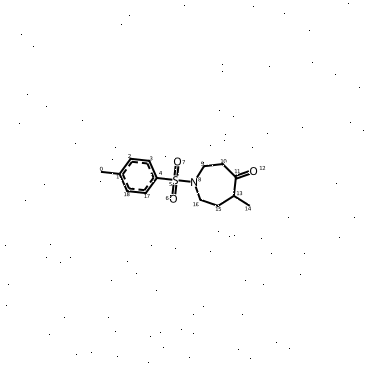 Cc1ccc(S(=O)(=O)N2CCC(=O)C(C)CC2)cc1